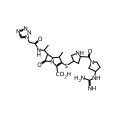 CC(NC(=O)Cn1cnnn1)C1C(=O)N2C(C(=O)O)=C(SC3CNC(C(=O)N4CCC(NC(=N)N)C4)C3)C(C)C12